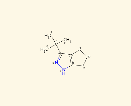 CC(C)(C)c1n[nH]c2c1CCC2